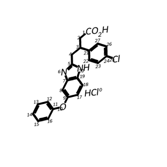 Cl.O=C(O)CC(Cc1nc2cc(Oc3ccccc3)ccc2[nH]1)c1ccc(Cl)cc1